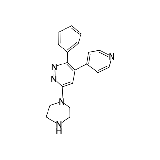 c1ccc(-c2nnc(N3CCNCC3)cc2-c2ccncc2)cc1